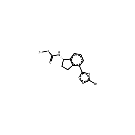 CC(C)(C)OC(=O)N[C@H]1CCc2c(-c3nc(Br)ns3)cccc21